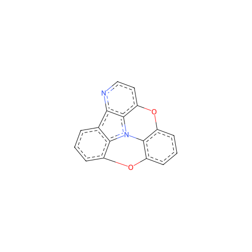 c1cc2c3c(c1)Oc1ccnc4c5cccc(c5n-3c14)O2